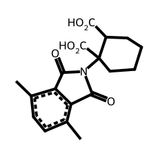 Cc1ccc(C)c2c1C(=O)N(C1(C(=O)O)CCCCC1C(=O)O)C2=O